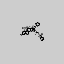 C[C@]12C=CC(=O)C=C1CCC1C2[C@@H](O)C[C@@]2(C)C1C[C@@H]1O[C@@H](C3CCCCC3)O[C@]12C(=O)COC(=O)CNC(=O)c1cccnc1